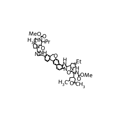 CC[C@H]1CC(c2nc3ccc4cc5c(cc4c3[nH]2)OCc2cc(-c3cnc(C4CC[C@H](C)N4C(=O)C(NC(=O)OC)C(C)C)[nH]3)ccc2-5)N(C(=O)[C@@H](NC(=O)OC)C2CC(C)O[C@H](C)C2)C1